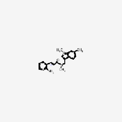 Cc1ccc2c(CN(C)C(=O)/C=C/c3cccnc3N)cn(C)c2c1